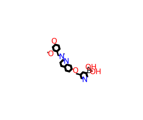 COc1ccc(CN(C)c2ccc3ccc(OCc4cncc(B(O)O)c4)cc3n2)c(OC)c1